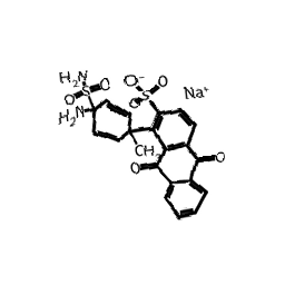 CC1(c2c(S(=O)(=O)[O-])ccc3c2C(=O)c2ccccc2C3=O)C=CC(N)(S(N)(=O)=O)C=C1.[Na+]